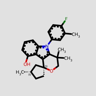 Cc1cc(-n2c3c(c4c(O)cccc42)[C@@]2(CC[C@H](C)C2)OCC3(C)C)ccc1F